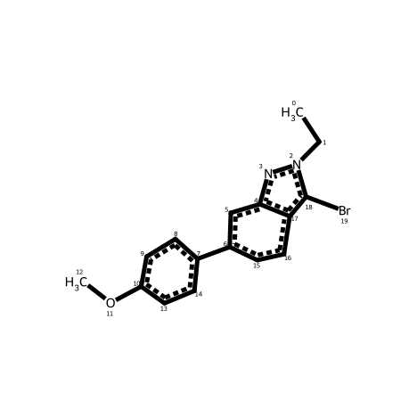 CCn1nc2cc(-c3ccc(OC)cc3)ccc2c1Br